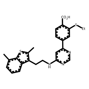 CCSc1cc(-c2cc(NCCc3c(C)sc4c(C)cccc34)ncn2)ccc1C(=O)O